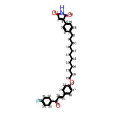 O=C1C=C(c2ccc(CCCCCCCCCCCCOc3ccc(C=CC(=O)c4ccc(F)cc4)cc3)cc2)C(=O)N1